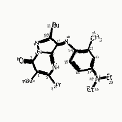 CCCCc1c(C(C)C)nc2n(c1=O)N=C(C(C)CC)C2=Nc1ccc(N(CC)CC)cc1C